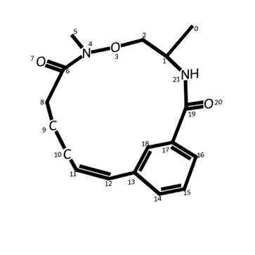 CC1CON(C)C(=O)CCC/C=C\c2cccc(c2)C(=O)N1